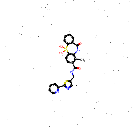 Cc1c(C(=O)NCc2cnc(-c3ccccn3)s2)ccc2c1NC(=O)c1ccccc1S2(O)O